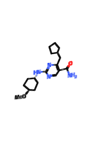 CO[C@H]1CC[C@H](Nc2ncc(C(N)=O)c(CC3CCCC3)n2)CC1